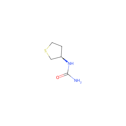 NC(=O)N[C@@H]1CCSC1